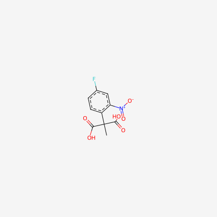 CC(C(=O)O)(C(=O)O)c1ccc(F)cc1[N+](=O)[O-]